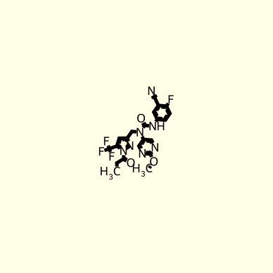 CCC(=O)n1nc(CN(C(=O)Nc2ccc(F)c(C#N)c2)c2cnc(OC)nc2)cc1C(F)(F)F